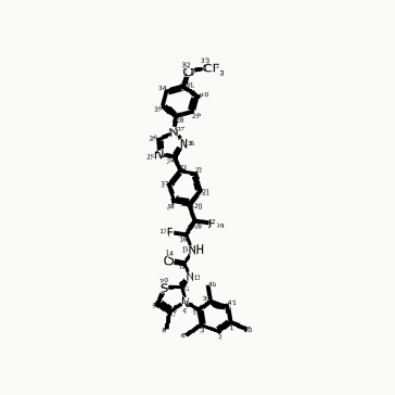 Cc1cc(C)c(-n2c(C)cs/c2=N\C(=O)NC(F)C(F)c2ccc(-c3ncn(-c4ccc(OC(F)(F)F)cc4)n3)cc2)c(C)c1